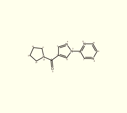 O=C(c1cnn(-c2cnccn2)c1)N1CCCC1